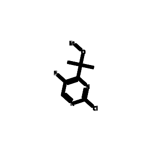 CCOC(C)(C)c1nc(Cl)ncc1F